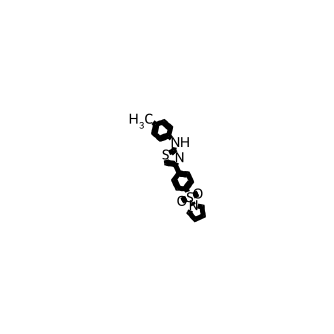 Cc1ccc(Nc2nc(-c3ccc(S(=O)(=O)N4CCCC4)cc3)cs2)cc1